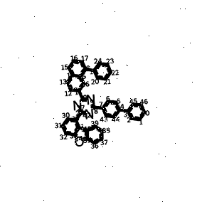 c1ccc(-c2ccc(-c3nc(-c4ccc5cccc(-c6ccccc6)c5c4)nc(-c4cccc5oc6ccccc6c45)n3)cc2)cc1